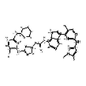 Cc1cnc(Nc2cc(C)n(C)n2)nc1-c1c[nH]c2c(NC(=O)CN3CCC(Oc4nc(NC5CCCCC5)ncc4F)C3)cccc12